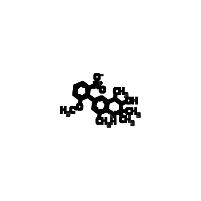 COc1cccc([N+](=O)[O-])c1-c1cc(C)c2c(c1)C(C)C(O)C(C)(C)N2